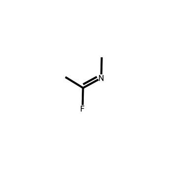 C/N=C(\C)F